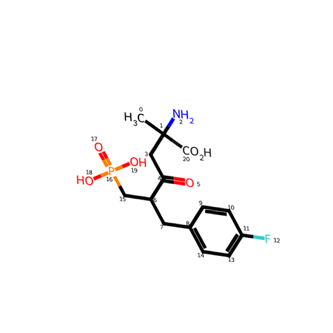 CC(N)(CC(=O)C(Cc1ccc(F)cc1)CP(=O)(O)O)C(=O)O